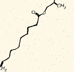 C=CCCCCCCCC(=O)OCC(C)C